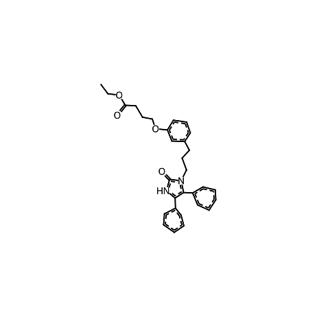 CCOC(=O)CCCOc1cccc(CCCn2c(-c3ccccc3)c(-c3ccccc3)[nH]c2=O)c1